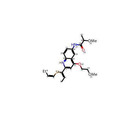 C/C=C(\S/C=C\CC)c1cc(OCCOC)c2cc(NC(=O)C(C)OC)ccc2n1